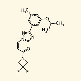 Cc1cc(OC(C)C)cc(-c2ncn(/C=C\C(=O)N3CC(F)(F)C3)n2)c1